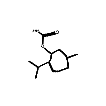 CC1CCC(C(C)C)C(OC([NH])=O)C1